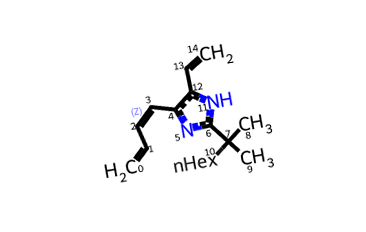 C=C/C=C\c1nc(C(C)(C)CCCCCC)[nH]c1C=C